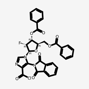 O=C(OC[C@H]1O[C@@H](n2cnc(C(=O)Cl)c2N2C(=O)c3ccccc3C2=O)[C@H](F)[C@@H]1OC(=O)c1ccccc1)c1ccccc1